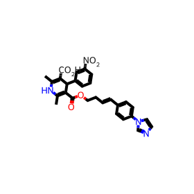 CC1=C(C(=O)O)C(c2cccc([N+](=O)[O-])c2)C(C(=O)OCCC=Cc2ccc(-n3ccnc3)cc2)=C(C)N1